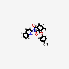 CC1=CC2(COc3ccc(C#N)cc3)C(=O)N(c3ccc4ccccc4n3)C(=O)C2C=C1